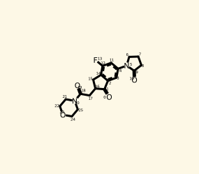 O=C1c2cc(N3CCCC3=O)cc(F)c2CC1CC(=O)N1CCOCC1